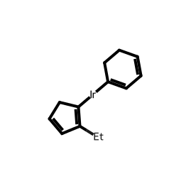 CCC1=[C]([Ir][C]2=CC=CCC2)CC=C1